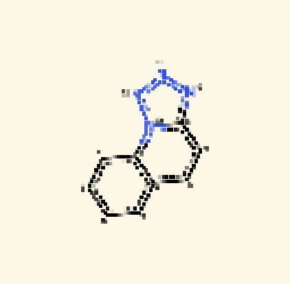 c1ccc2c(c1)ccc1nnnn12